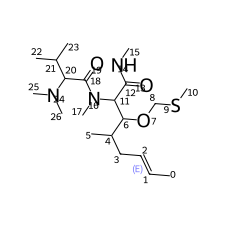 C/C=C/CC(C)C(OCSC)C(C(=O)NC)N(C)C(=O)C(C(C)C)N(C)C